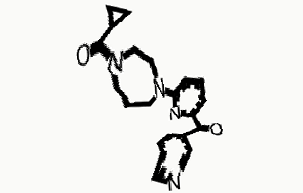 O=C(c1cccnc1)c1cccc(N2CCCN(C(=O)C3CC3)CC2)n1